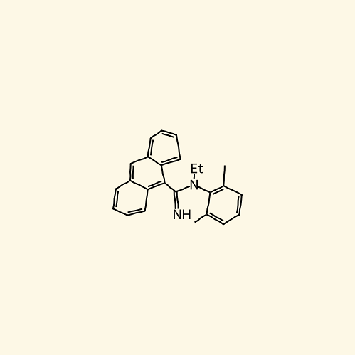 CCN(C(=N)c1c2ccccc2cc2ccccc12)c1c(C)cccc1C